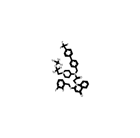 [2H]C([2H])([2H])OC([2H])([2H])CN1CCC(N(Cc2ccc(-c3ccc(C(F)(F)F)cc3)cc2)C(=O)Cn2c(SCc3cccc(F)c3F)cc(=O)c3ccccc32)CC1